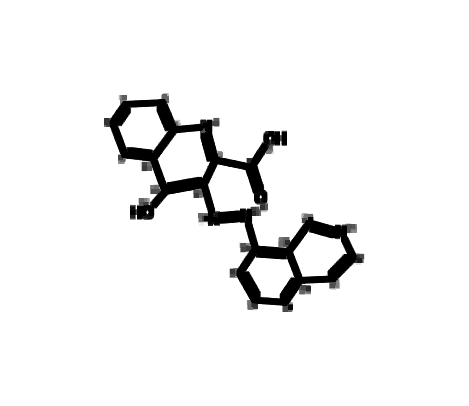 O=C(O)c1nc2ccccc2c(O)c1/N=N/c1cccc2ccncc12